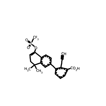 C#Cc1c(C(=O)O)cccc1-c1ccc2c(c1)C(C)(C)CC=C2OS(=O)(=O)C(F)(F)F